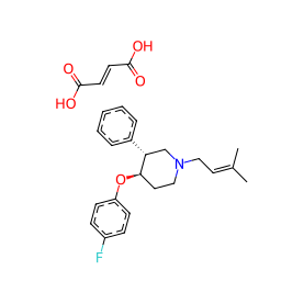 CC(C)=CCN1CC[C@@H](Oc2ccc(F)cc2)[C@H](c2ccccc2)C1.O=C(O)C=CC(=O)O